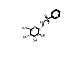 CO[C@H]1O[C@H](CNS(=O)(=O)c2ccccc2)[C@@H](O)[C@H](O)[C@@H]1O